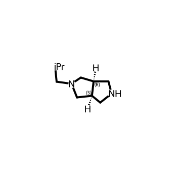 CC(C)CN1C[C@H]2CNC[C@H]2C1